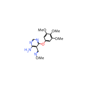 CO/N=C/c1c(N)ncnc1Oc1cc(OC)c(OC)c(OC)c1